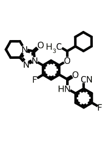 CC(Oc1cc(-n2nc3n(c2=O)CCCC3)c(F)cc1C(=O)Nc1ccc(F)cc1C#N)C1CCCCC1